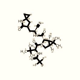 CC(C)(C)C(NC(=O)C(F)(F)F)C(=O)N1C[C@H]2[C@@H]([C@H]1C(=O)N[C@H](C#N)CC1CC3(CC3)NC1=O)C2(C)C